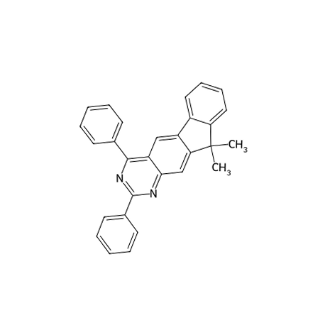 CC1(C)c2ccccc2-c2cc3c(-c4ccccc4)nc(-c4ccccc4)nc3cc21